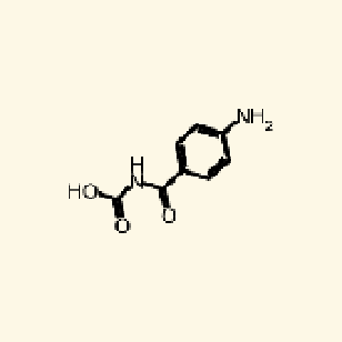 Nc1ccc(C(=O)NC(=O)O)cc1